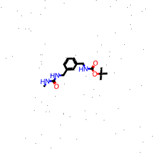 CNC(=O)NCc1cccc(CNC(=O)OC(C)(C)C)c1